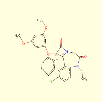 CCN1C(=O)CN2C(=O)[C@@H](Oc3cc(OC)cc(OC)c3)[C@]2(c2ccccc2)c2cc(Cl)ccc21